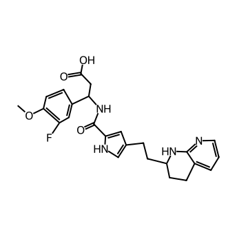 COc1ccc(C(CC(=O)O)NC(=O)c2cc(CCC3CCc4cccnc4N3)c[nH]2)cc1F